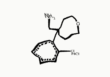 Cl.NCC1(c2ccccc2Cl)CCOCC1